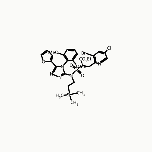 CCOC(=O)[C@@H](Cc1ncc(Cl)cc1Br)S(=O)(=O)N(CC[Si](C)(C)C)c1nnc(-c2ccco2)n1-c1c(OC)cccc1OC